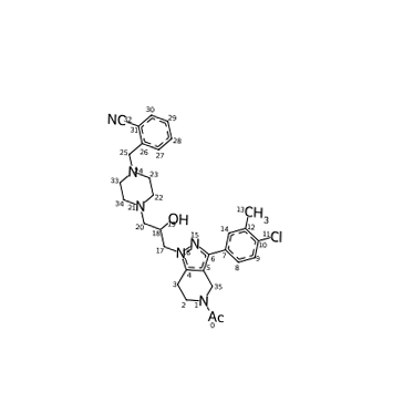 CC(=O)N1CCc2c(c(-c3ccc(Cl)c(C)c3)nn2CC(O)CN2CCN(Cc3ccccc3C#N)CC2)C1